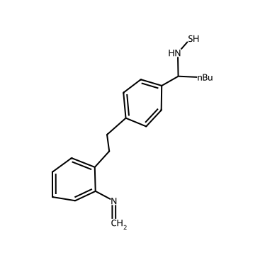 C=Nc1ccccc1CCc1ccc(C(CCCC)NS)cc1